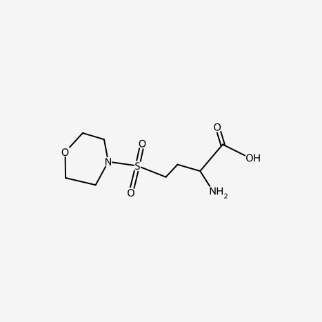 NC(CCS(=O)(=O)N1CCOCC1)C(=O)O